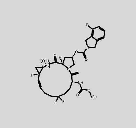 C=C1[C@@H](NC(=O)OC(C)(C)C)CCC(F)(F)CC/C=C\[C@@H]2C[C@@]2(C(=O)O)NC(=O)[C@@H]2C[C@@H](OC(=O)N3Cc4cccc(F)c4C3)CN12